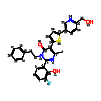 Cc1nc(-c2cccc(F)c2O)n(CCc2ccccc2)c(=O)c1-c1ccc(-c2ccc(CO)nc2)s1